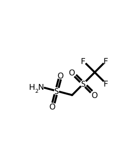 NS(=O)(=O)CS(=O)(=O)C(F)(F)F